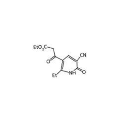 CCOC(=O)CC(=O)c1cc(C#N)c(=O)[nH]c1CC